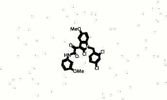 COc1cccc(NC(=O)C(=O)c2c(Cl)n(Cc3ccc(Cl)cc3Cl)c3ccc(OC)cc23)c1